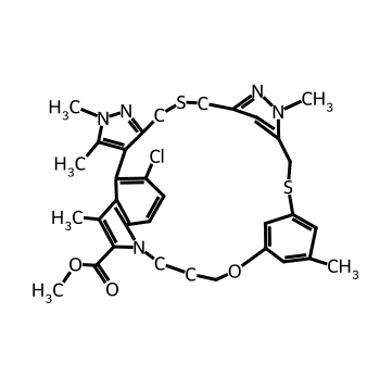 COC(=O)c1c(C)c2c3c(Cl)ccc2n1CCCOc1cc(C)cc(c1)SCc1cc(nn1C)CSCc1nn(C)c(C)c1-3